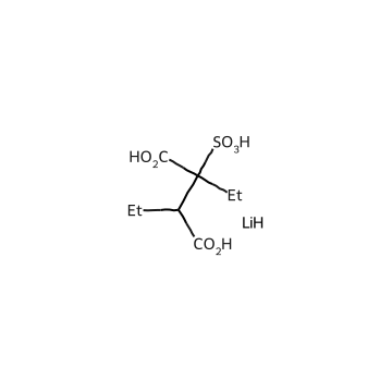 CCC(C(=O)O)C(CC)(C(=O)O)S(=O)(=O)O.[LiH]